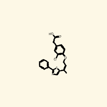 CC(=CCOc1ccc(CC(=O)O)cc1Cl)c1cnc(-c2ccccc2)s1